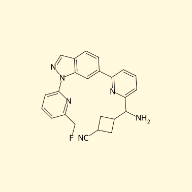 N#CC1CC(C(N)c2cccc(-c3ccc4cnn(-c5cccc(CF)n5)c4c3)n2)C1